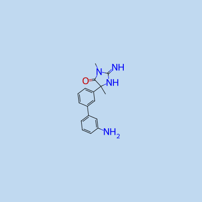 CN1C(=N)NC(C)(c2cccc(-c3cccc(N)c3)c2)C1=O